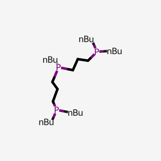 CCCCP(CCCC)CCCP(CCCC)CCCP(CCCC)CCCC